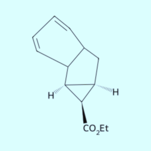 CCOC(=O)[C@@H]1[C@@H]2CC3C=CC=CC3[C@@H]21